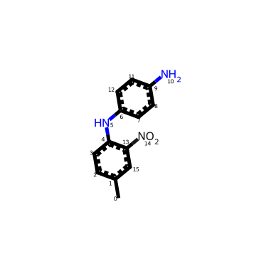 Cc1ccc(Nc2ccc(N)cc2)c([N+](=O)[O-])c1